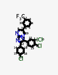 Cl.FC(F)(F)c1cccc(-c2cnc3nc(-c4ccc(Cl)cc4)c(-c4ccc(Cl)cc4)n3c2)c1